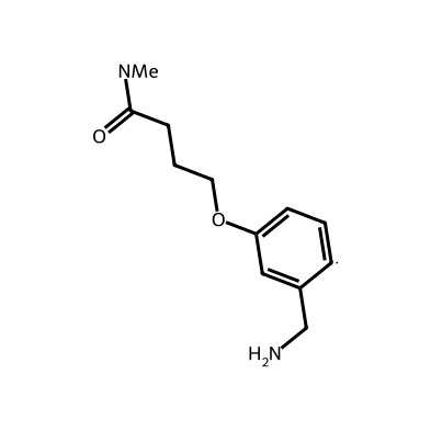 CNC(=O)CCCOc1cc[c]c(CN)c1